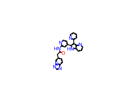 O=C(Cc1ccc2ncnn2c1)Nc1cc(-c2[nH]c3cccnc3c2-c2ccccn2)ccn1